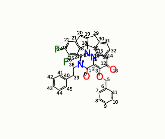 O=C1c2c(OCc3ccccc3)c(=O)ccn2N(C23C(=Cc4cc(F)c(F)cc42)Cc2ccccc23)CN1CCc1ccccc1